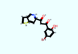 O=C(CC(=O)c1cc(Br)ccc1O)c1cc2sccc2cn1